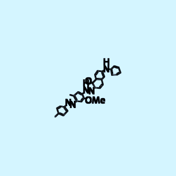 COc1cc(/N=N/c2ccc(C)cc2)c(C)cc1N/N=C1/C=Cc2cc(Nc3ccccc3)ccc2C1=O